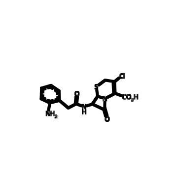 Nc1ccccc1CC(=O)NC1C(=O)N2C(C(=O)O)=C(Cl)CSC12